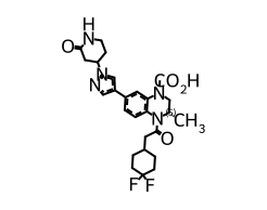 C[C@H]1CN(C(=O)O)c2cc(-c3cnn(C4CCNC(=O)C4)c3)ccc2N1C(=O)CC1CCC(F)(F)CC1